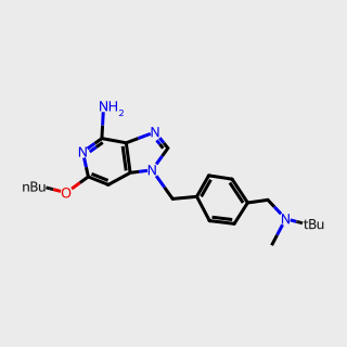 CCCCOc1cc2c(ncn2Cc2ccc(CN(C)C(C)(C)C)cc2)c(N)n1